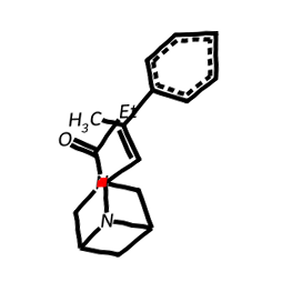 CCC(=O)N1CC2CC(C1)N2C/C=C(\C)c1ccccc1